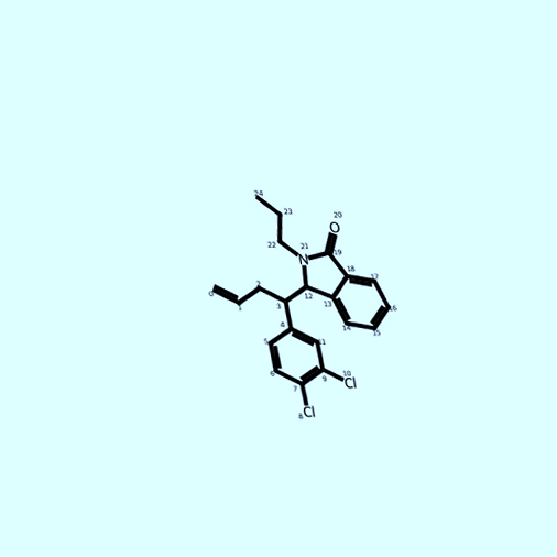 C=CCC(c1ccc(Cl)c(Cl)c1)C1c2ccccc2C(=O)N1CCC